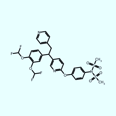 CS(=O)(=O)N(c1ccc(Oc2ccc(C(Cc3ccncc3)c3ccc(OC(F)F)c(OC(F)F)c3)cn2)cc1)S(C)(=O)=O